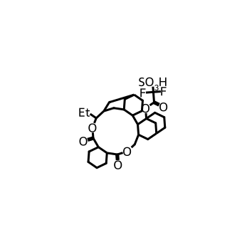 CCC1OC(=O)C2CCCCC2C(=O)OCC2CC3CCCC(OC(=O)C(F)(F)S(=O)(=O)O)(C3)C2C2CCC3CC1CC2C3